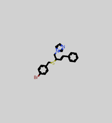 Brc1ccc(CSC(C=Cc2ccccc2)Cn2ccnc2)cc1